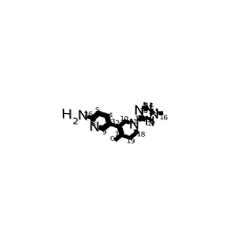 CC1=C(c2ccc(N)nc2)CN(c2nnn(C)n2)CC1